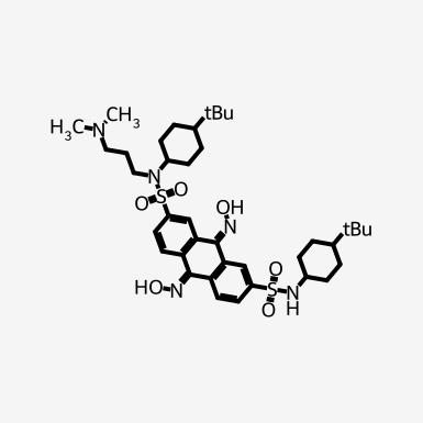 CN(C)CCCN(C1CCC(C(C)(C)C)CC1)S(=O)(=O)c1ccc2c(c1)/C(=N\O)c1cc(S(=O)(=O)NC3CCC(C(C)(C)C)CC3)ccc1/C2=N/O